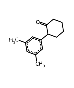 Cc1cc(C)cc(C2CCCCC2=O)c1